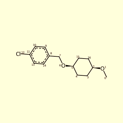 CO[C@H]1CC[C@@H](OCc2ccc(Cl)cc2)CC1